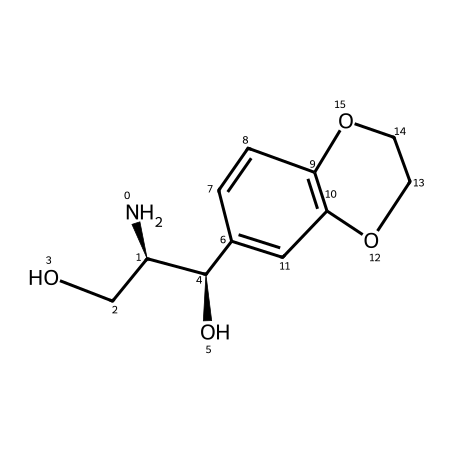 N[C@H](CO)[C@H](O)c1ccc2c(c1)OCCO2